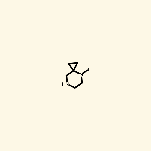 IN1CCNCC12CC2